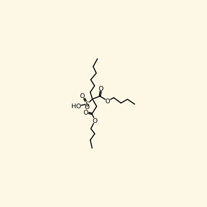 CCCCCCC(CC(=O)OCCCC)(C(=O)OCCCC)S(=O)(=O)O